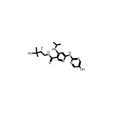 CC(C)Nc1cc(Nc2ncc(O)cn2)ncc1C(=O)NC[C@@H](F)C(C)(C)O